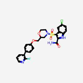 NC(=O)c1[nH]c2ccc(Cl)cc2c1S(=O)(=O)N1CCOC(COc2ccc(-c3cccnc3F)cc2)C1